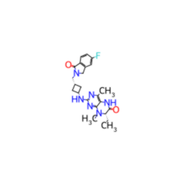 CC[C@H]1C(=O)Nc2c(C)nc(N[C@H]3C[C@@H](CN4Cc5cc(F)ccc5C4=O)C3)nc2N1C